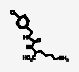 NCCCCC(NC(=O)NCc1ccc(Cl)cc1)C(=O)O